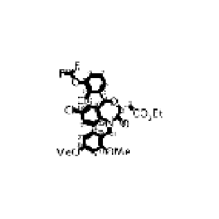 CCOC(=O)C[C@H]1O[C@H](c2cccc(OC(F)F)c2Cl)c2cc(Cl)ccc2N(Cc2ccc(OC)cc2OC)C1=O